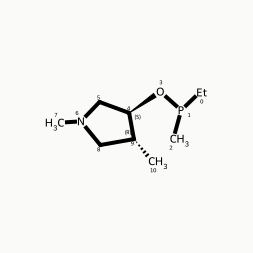 CCP(C)O[C@@H]1CN(C)C[C@H]1C